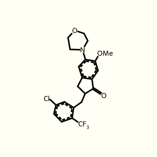 COc1cc2c(cc1N1CCOCC1)CC(Cc1cc(Cl)ccc1C(F)(F)F)C2=O